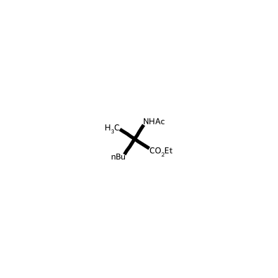 CCCCC(C)(NC(C)=O)C(=O)OCC